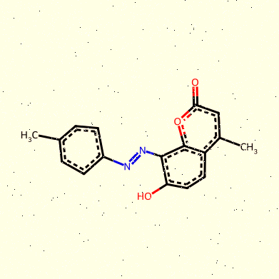 Cc1ccc(N=Nc2c(O)ccc3c(C)cc(=O)oc23)cc1